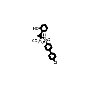 O=C(O)C1(NS(=O)(=O)c2ccc(-c3ccc(Cl)cc3)cc2)CC1c1ccccc1O